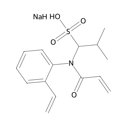 C=CC(=O)N(c1ccccc1C=C)C(C(C)C)S(=O)(=O)O.[NaH]